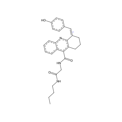 CCCCNC(=O)CNC(=O)c1c2c(nc3ccccc13)/C(=C\c1ccc(O)cc1)CCC2